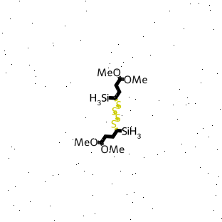 COC(CCC([SiH3])SSSSC([SiH3])CCC(OC)OC)OC